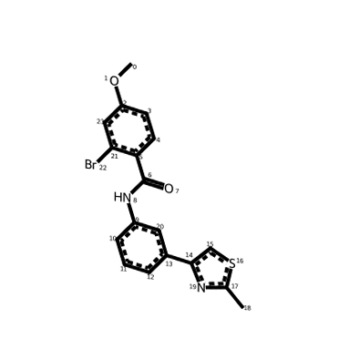 COc1ccc(C(=O)Nc2cccc(-c3csc(C)n3)c2)c(Br)c1